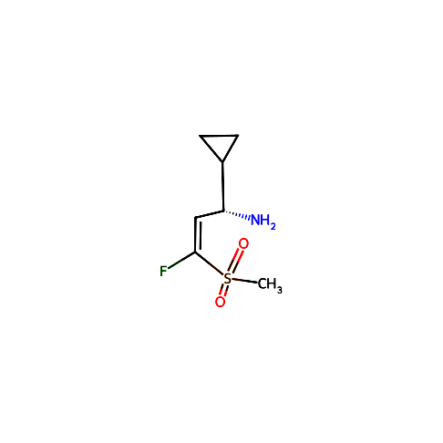 CS(=O)(=O)/C(F)=C\[C@@H](N)C1CC1